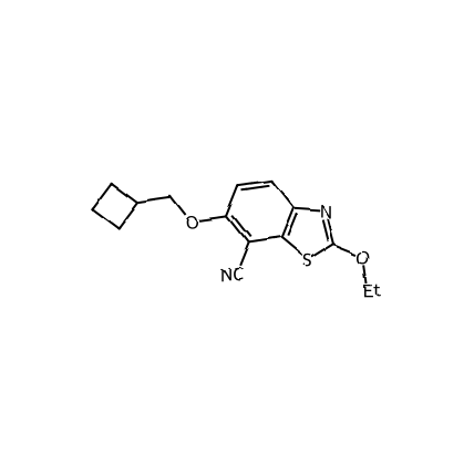 CCOc1nc2ccc(OCC3CCC3)c(C#N)c2s1